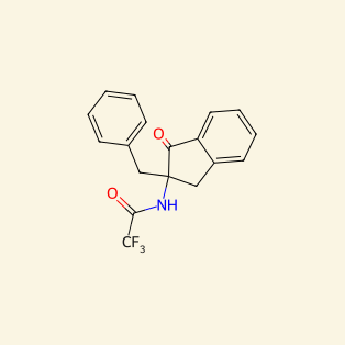 O=C(NC1(Cc2ccccc2)Cc2ccccc2C1=O)C(F)(F)F